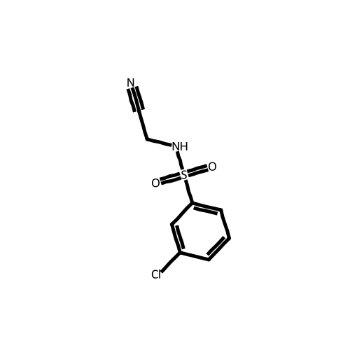 N#CCNS(=O)(=O)c1cccc(Cl)c1